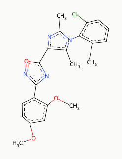 COc1ccc(-c2noc(-c3nc(C)n(-c4c(C)cccc4Cl)c3C)n2)c(OC)c1